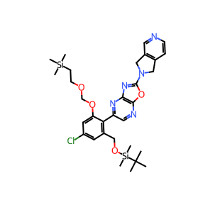 CC(C)(C)[Si](C)(C)OCc1cc(Cl)cc(OCOCC[Si](C)(C)C)c1-c1cnc2oc(N3Cc4ccncc4C3)nc2n1